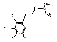 CO[SiH](OC)OCCc1cc(F)c(F)c(F)c1F